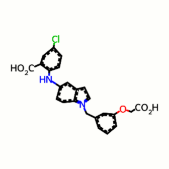 O=C(O)COc1cccc(Cn2ccc3cc(Nc4ccc(Cl)cc4C(=O)O)ccc32)c1